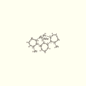 COc1c(-c2c(C(C)C)cccc2C(C)C)cccc1-c1c(C(C)C)cccc1C(C)C